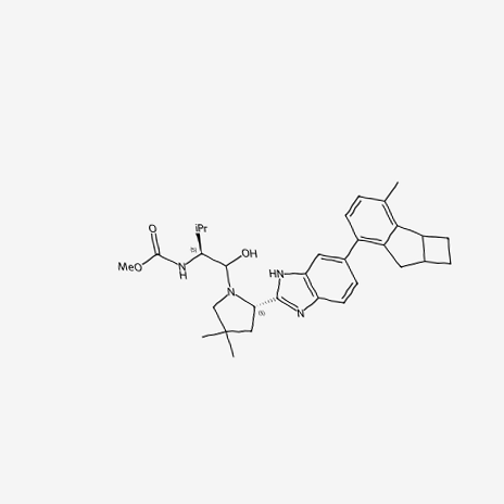 COC(=O)N[C@@H](C(C)C)C(O)N1CC(C)(C)C[C@H]1c1nc2ccc(-c3ccc(C)c4c3CC3CCC43)cc2[nH]1